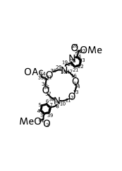 COC(=O)c1cccc(CN2CCOCCOCCN(Cc3cccc(C(=O)OC)n3)CCOC(COC(C)=O)COCC2)c1